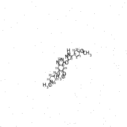 COc1ccc(-c2cc(Oc3ncnc4cc(OCC5CCN(C)CC5)c(OC)cc34)n[nH]2)cc1